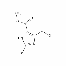 COC(=O)c1[nH]c(Br)nc1CCl